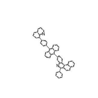 c1ccc(-c2nc3cc(-c4c5ccccc5c(-c5ccc(-c6cccc7cccnc67)cc5)c5ccccc45)ccc3c3c2ccc2ccccc23)cc1